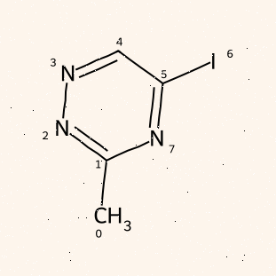 Cc1nncc(I)n1